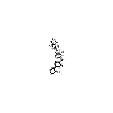 [2H]C([2H])(C1CCOCC1(C)C)N1C[C@H]2CC(Nc3nnc(-c4cnccc4C(F)(F)F)cc3C)C[C@H]2C1